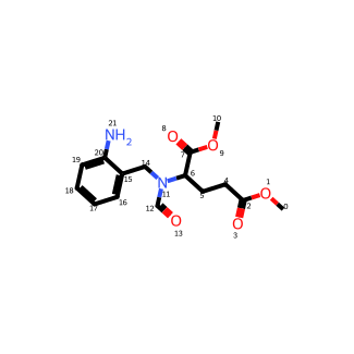 COC(=O)CCC(C(=O)OC)N(C=O)Cc1ccccc1N